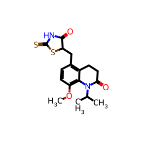 COc1ccc(CC2SC(=S)NC2=O)c2c1N(C(C)C)C(=O)CC2